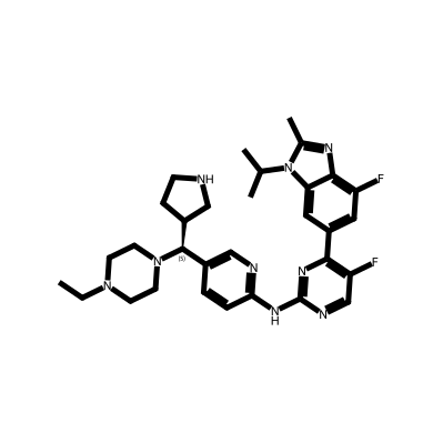 CCN1CCN([C@H](c2ccc(Nc3ncc(F)c(-c4cc(F)c5nc(C)n(C(C)C)c5c4)n3)nc2)C2CCNC2)CC1